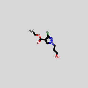 CCOC(=O)c1cn(CCCO)nc1Br